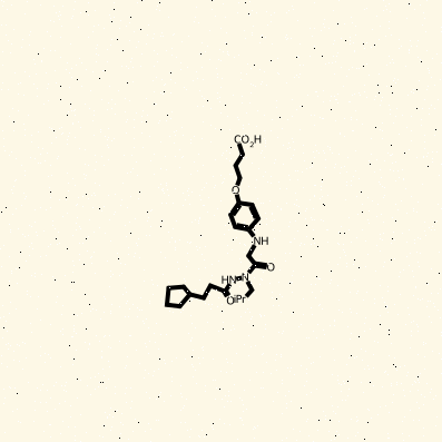 CC(C)CN(NC(=O)CCC1CCCC1)C(=O)CNc1ccc(OCCCC(=O)O)cc1